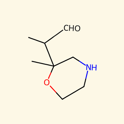 CC(C=O)C1(C)CNCCO1